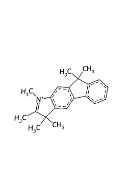 CC1=[N+](C)c2cc3c(cc2C1(C)C)-c1ccccc1C3(C)C